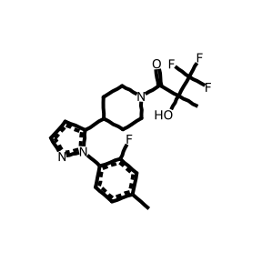 Cc1ccc(-n2nccc2C2CCN(C(=O)C(C)(O)C(F)(F)F)CC2)c(F)c1